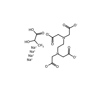 CC(O)C(=O)O.O=C([O-])CN(CCN(CC(=O)[O-])CC(=O)[O-])CC(=O)[O-].[Na+].[Na+].[Na+].[Na+]